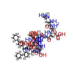 C[C@H](NC(=O)[C@@](F)(NC(=O)[C@H](Cc1ccccc1)NC(=O)[C@@H](NC(=O)CNC(=O)[C@H](CCC(=O)O)NC(=O)C(C)(C)NC(=O)[C@@H](N)Cc1c[nH]cn1)[C@@H](C)O)[C@@H](C)O)C(=O)N[C@@H](CC(=O)O)C(=O)N[C@@H](Cc1ccc(-c2ccccc2)cc1)C(=O)N[C@@H](Cc1ccc(-c2ccccc2)cc1)C(=O)O